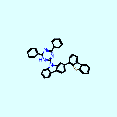 C1=CCC(C2=NC(c3ccccc3)NC(n3c4ccccc4c4ccc(-c5cccc6c5sc5ccccc56)cc43)=N2)C=C1